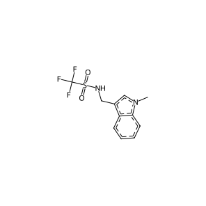 Cn1cc(CNS(=O)(=O)C(F)(F)F)c2ccccc21